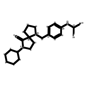 O=C1N(C2CCCCC2)CCC12CCCN2Cc1ccc(OC(F)F)cc1